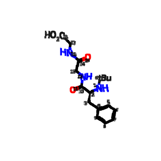 CC(C)(C)N[C@@H](Cc1ccccc1)C(=O)NCC(=O)NCC(=O)O